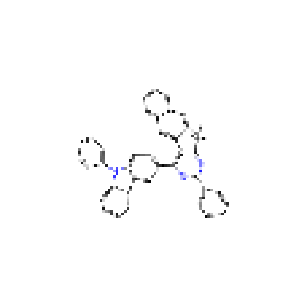 C[Si]1(C)c2cc3ccccc3cc2-c2c(-c3ccc4c(c3)c3ccccc3n4-c3ccccc3)nc(-c3ccccc3)nc21